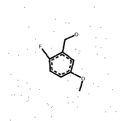 COc1ccc(F)c(C[O])c1